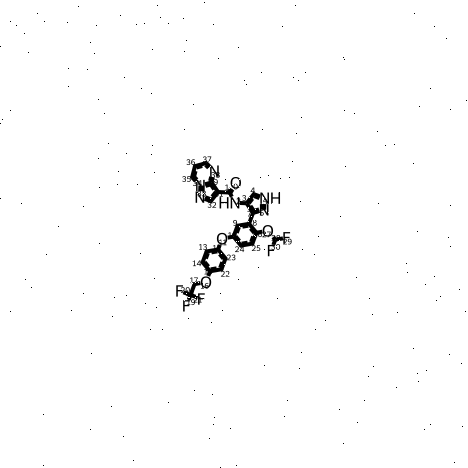 O=C(Nc1c[nH]nc1-c1cc(Oc2ccc(OCC(F)(F)F)cc2)ccc1OC(F)F)c1cnn2cccnc12